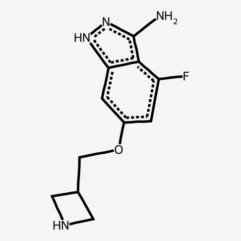 Nc1n[nH]c2cc(OCC3CNC3)cc(F)c12